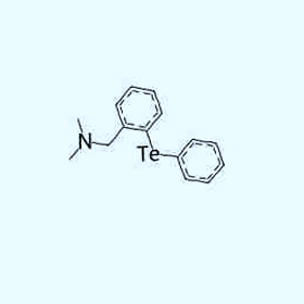 CN(C)Cc1ccccc1[Te]c1ccccc1